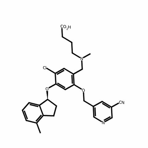 Cc1cccc2c1CC[C@@H]2Oc1cc(OCc2cncc(C#N)c2)c(CN(C)CCCC(=O)O)cc1Cl